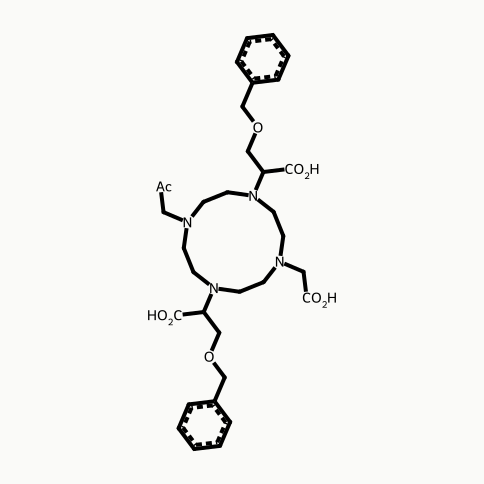 CC(=O)CN1CCN(C(COCc2ccccc2)C(=O)O)CCN(CC(=O)O)CCN(C(COCc2ccccc2)C(=O)O)CC1